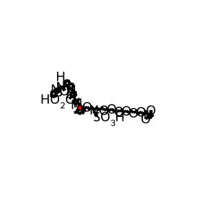 Cc1c(-c2ccc(N3CCc4cccc(C(=O)Nc5nc6ccccc6s5)c4C3)nc2C(=O)O)cnn1CC12CC3(C)CC(C)(C1)CC(OCCN(CCCOCCOCCOCCOCCOCCOCCN1C(=O)C=CC1=O)CCS(=O)(=O)O)(C3)C2